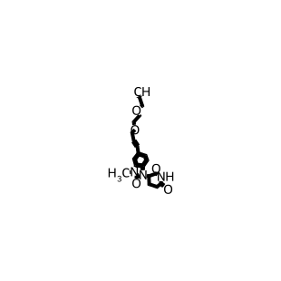 C#CCOCCOCC#Cc1ccc2c(c1)n(C)c(=O)n2C1CCC(=O)NC1=O